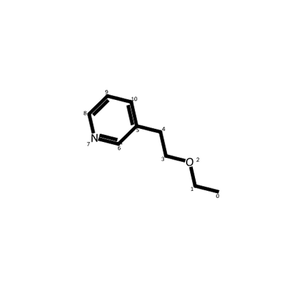 CCOCCc1[c]nccc1